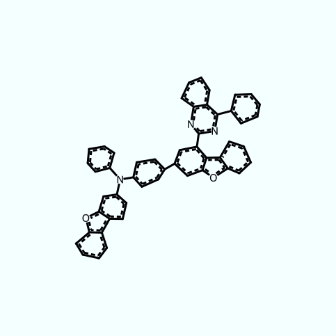 c1ccc(-c2nc(-c3cc(-c4ccc(N(c5ccccc5)c5ccc6c(c5)oc5ccccc56)cc4)cc4oc5ccccc5c34)nc3ccccc23)cc1